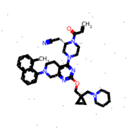 C=CC(=O)N1CCN(c2nc(OCC3(CN4CCCCC4)CC3)nc3c2CCN(c2cccc4cccc(C)c24)C3)C[C@@H]1CC#N